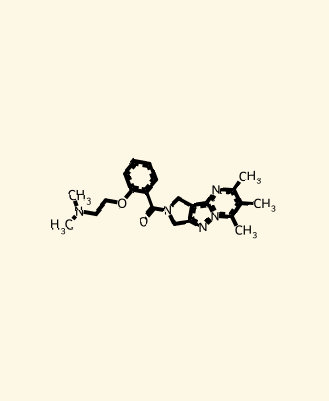 Cc1nc2c3c(nn2c(C)c1C)CN(C(=O)c1ccccc1OCCN(C)C)C3